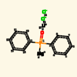 O=[P]([Mg+])(c1ccccc1)c1ccccc1.[Cl-].[Cl-].[Li+]